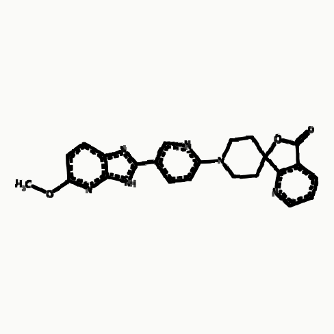 COc1ccc2nc(-c3ccc(N4CCC5(CC4)OC(=O)c4cccnc45)nc3)[nH]c2n1